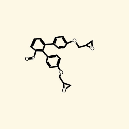 O=Pc1cccc(-c2ccc(OCC3CO3)cc2)c1-c1ccc(OCC2CO2)cc1